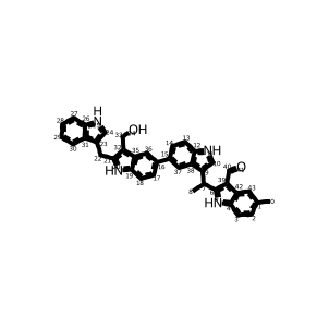 Cc1ccc2[nH]c(C(C)c3c[nH]c4ccc(-c5ccc6[nH]c(Cc7c[nH]c8ccccc78)c(CO)c6c5)cc34)c(C=O)c2c1